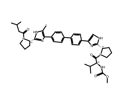 COC(=O)N[C@H](C(=O)N1CCC[C@H]1c1nc(-c2ccc(-c3ccc(-c4nc([C@@H]5CCCN5C(=O)CC(C)C)[nH]c4I)cc3)cc2)c[nH]1)C(C)C